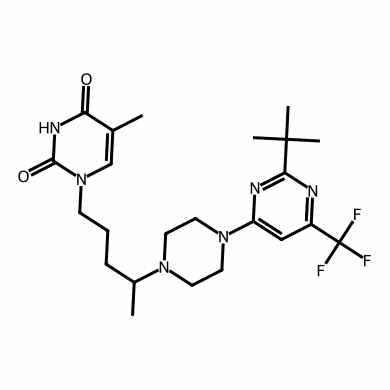 Cc1cn(CCCC(C)N2CCN(c3cc(C(F)(F)F)nc(C(C)(C)C)n3)CC2)c(=O)[nH]c1=O